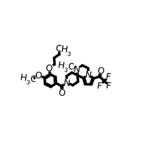 CCCCOc1cc(C(=O)N2CCC3(CC2)c2ccc(C(=O)C(F)(F)F)n2CCN3C)ccc1OC